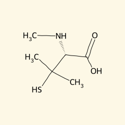 CN[C@H](C(=O)O)C(C)(C)S